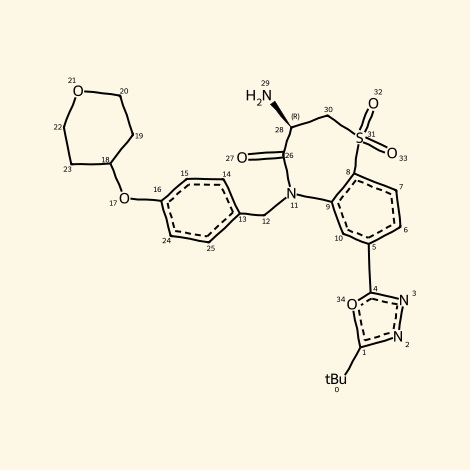 CC(C)(C)c1nnc(-c2ccc3c(c2)N(Cc2ccc(OC4CCOCC4)cc2)C(=O)[C@@H](N)CS3(=O)=O)o1